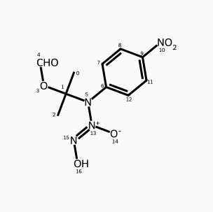 CC(C)(OC=O)N(c1ccc([N+](=O)[O-])cc1)/[N+]([O-])=N/O